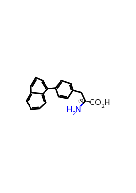 N[C@@H](Cc1ccc(-c2cccc3ccccc23)cc1)C(=O)O